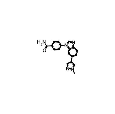 Cn1cc(-c2ccc3ncn(-c4ccc(C(N)=O)cc4)c3c2)cn1